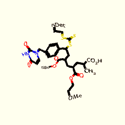 CCCCCCCCCCCCSC(=S)SC(CC(CC(CC(C)C(=O)O)C(=O)OCCOC)C(=O)OCCCC)c1ccc(Cn2ccc(=O)[nH]c2=O)cc1